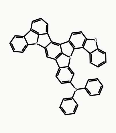 c1ccc(N(c2ccccc2)c2ccc3c4cc5c(c6cccc7c8ccccc8n5c76)c5c6ccc7oc8ccccc8c7c6n(c3c2)c45)cc1